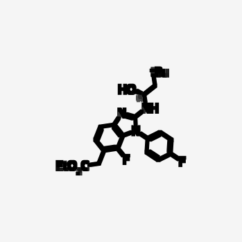 CCOC(=O)Cc1ccc2nc(N[C@@H](O)CC(C)(C)C)n(-c3ccc(F)cc3)c2c1F